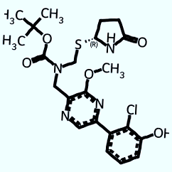 COc1nc(-c2cccc(O)c2Cl)cnc1CN(CS[C@@H]1CCC(=O)N1)C(=O)OC(C)(C)C